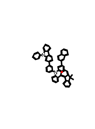 CC1(C)c2ccccc2-c2c(-c3ccccc3N(c3cccc(-c4ccc5ccccc5c4)c3)c3cccc(-c4ccc5c6ccccc6n(-c6ccccc6)c5c4)c3)cccc21